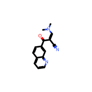 CN(C)/C=C(/C#N)C(=O)c1ccc2cccnc2c1